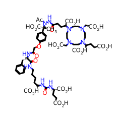 CC(=O)N(NC(=O)CCC(C(=O)O)N1CCN(CC(=O)O)CCN(C(CCC(=O)O)C(=O)O)CCN(CC(=O)O)CC1)[C@](C)(C(=O)O)c1ccc(OCC(=O)N[C@@H](Cc2ccccc2)C(=O)NCCCC[C@H](NC(=O)N[C@@H](CCC(=O)O)C(=O)O)C(=O)O)cc1